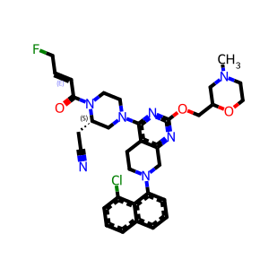 CN1CCOC(COc2nc3c(c(N4CCN(C(=O)/C=C/CF)[C@@H](CC#N)C4)n2)CCN(c2cccc4cccc(Cl)c24)C3)C1